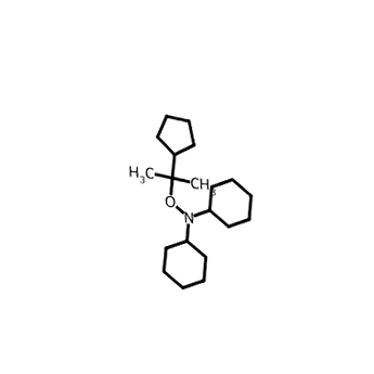 CC(C)(ON(C1CCCCC1)C1CCCCC1)C1CCCC1